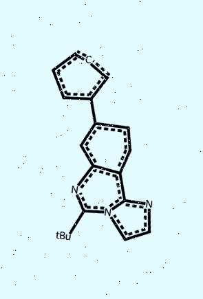 CC(C)(C)c1nc2cc(-c3ccccc3)ccc2c2nccn12